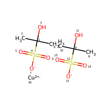 CC(C)(O)S(=O)(=O)[O-].CC(C)(O)S(=O)(=O)[O-].[Cu+2]